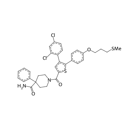 CSCCCOc1ccc(-c2sc(C(=O)N3CCC(C(N)=O)(c4ccccc4)CC3)cc2-c2ccc(Cl)cc2Cl)cc1